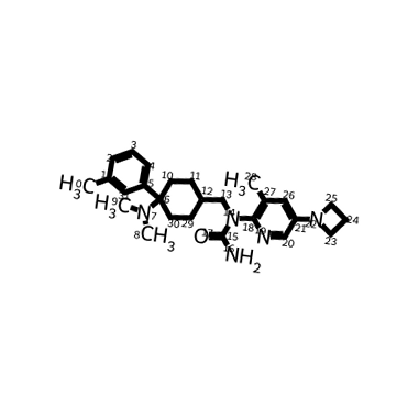 Cc1cccc(C2(N(C)C)CCC(CN(C(N)=O)c3ncc(N4CCC4)cc3C)CC2)c1